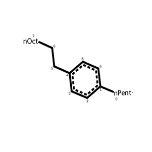 CCCC[CH]c1ccc(CCCCCCCCCC)cc1